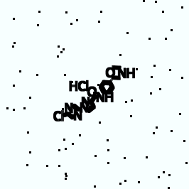 Cl.O=C(Nc1ccc([C@H]2CNCCO2)cc1)c1ccn(-c2cnc(Cl)cn2)n1